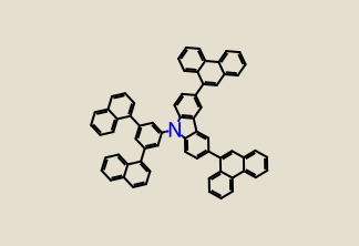 c1ccc2c(-c3cc(-c4cccc5ccccc45)cc(-n4c5ccc(-c6cc7ccccc7c7ccccc67)cc5c5cc(-c6cc7ccccc7c7ccccc67)ccc54)c3)cccc2c1